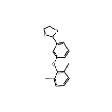 Cc1cccc(C)c1Oc1cccc(C2OCCO2)c1